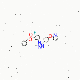 Cc1nnc([C@H]2CC[C@H](Oc3ccccn3)CC2)n1-c1ccc(F)c(C(=O)OCc2ccccc2)c1